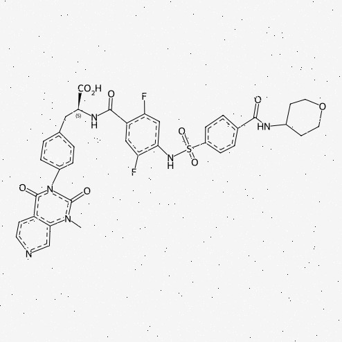 Cn1c(=O)n(-c2ccc(C[C@H](NC(=O)c3cc(F)c(NS(=O)(=O)c4ccc(C(=O)NC5CCOCC5)cc4)cc3F)C(=O)O)cc2)c(=O)c2ccncc21